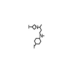 CC(CCN(C)C1CCC(I)CC1)N1CC(I)C1